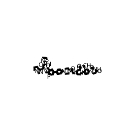 CN1C(=O)[C@H]2CN(CC(=O)N3CCN(c4ccc(-c5cc(F)c6c(c5)C(=O)N(C(C(=O)Nc5nccs5)c5ncn7c5CCC7)C6)cc4)CC3)CCN2c2ccc(N3CCC(=O)NC3=O)cc21